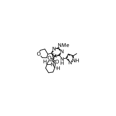 CCS(=O)(=O)N1[C@@H]2CCC[C@H]1CC(c1c(Nc3cc(C)[nH]n3)nc(NC)nc1C1CCOCC1)C2